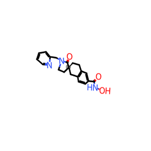 O=C(NO)c1ccc2c(c1)CC[C@]1(CCN(Cc3ccccn3)C1=O)C2